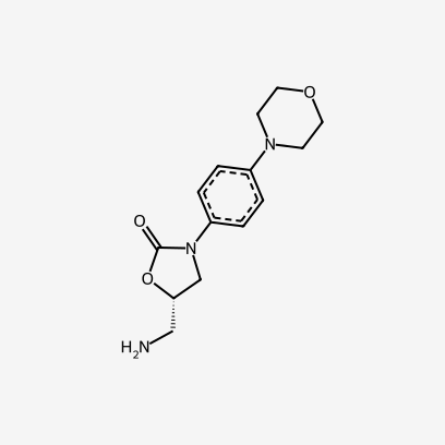 NC[C@H]1CN(c2ccc(N3CCOCC3)cc2)C(=O)O1